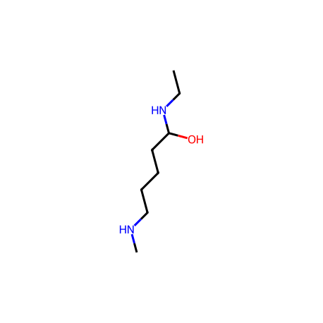 CCNC(O)CCCCNC